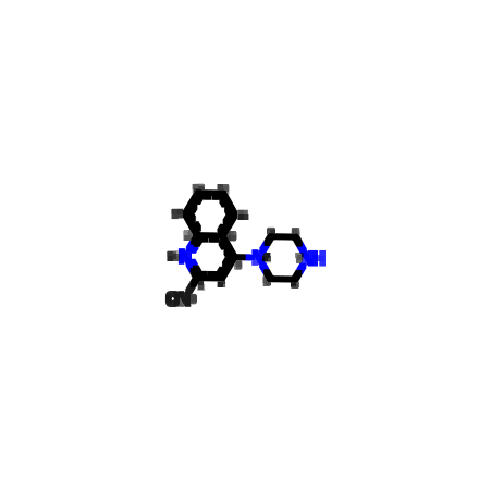 O=Nc1cc(N2CCNCC2)c2ccccc2n1